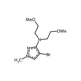 COCCN(CCOC)c1nn(C)cc1Br